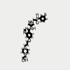 O=C(Cn1cc(Nc2ncnc3cc(OCCCN4CCN(CCO)CC4)ccc23)cn1)Nc1cccc(F)c1